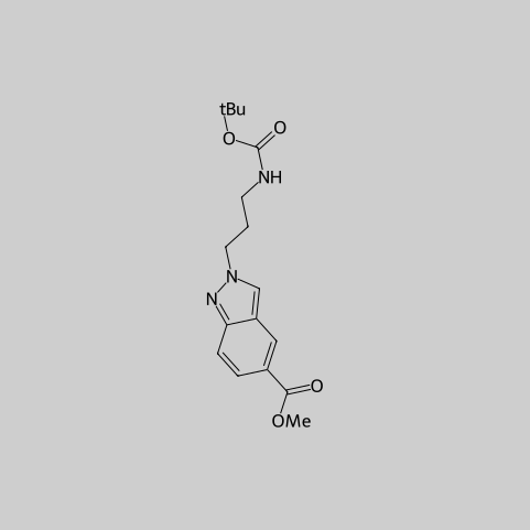 COC(=O)c1ccc2nn(CCCNC(=O)OC(C)(C)C)cc2c1